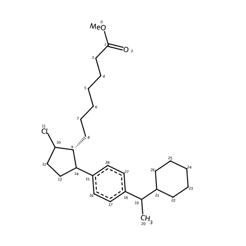 COC(=O)CCCCCC[C@H]1C(Cl)CCC1c1ccc(C(C)C2CCCCC2)cc1